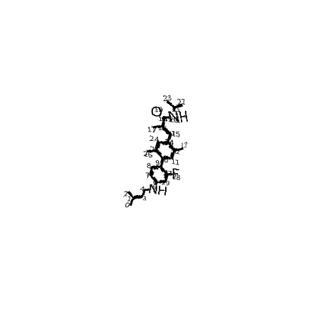 CC(C)=CCNc1ccc(-c2cc(C)c(/C=C(\C)C(=O)NC(C)C)cc2C)c(F)c1